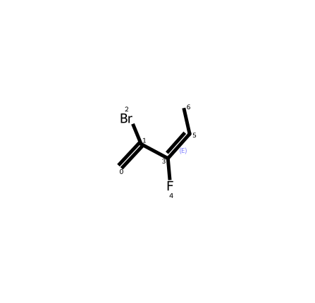 C=C(Br)/C(F)=C\C